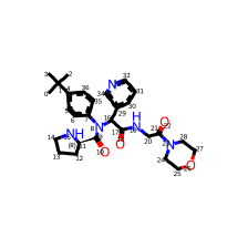 CC(C)(C)c1ccc(N(C(=O)[C@H]2CCCN2)C(C(=O)NCC(=O)N2CCOCC2)c2cccnc2)cc1